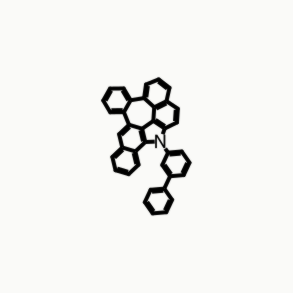 c1ccc(-c2cccc(-n3c4ccc5cccc6c5c4c4c(cc5ccccc5c43)-c3ccccc3-6)c2)cc1